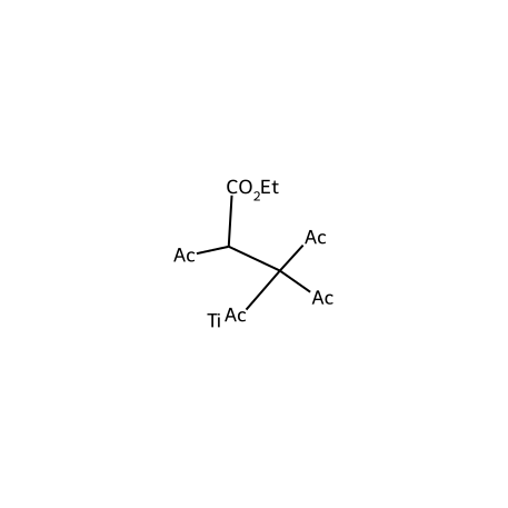 CCOC(=O)C(C(C)=O)C(C(C)=O)(C(C)=O)C(C)=O.[Ti]